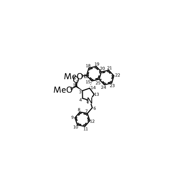 COC(=O)[C@@H]1CN(Cc2ccccc2)C[C@H]1c1c(OC)ccc2ccccc12